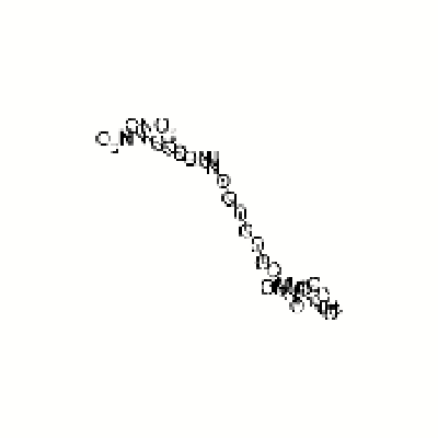 COc1ccc(-c2ccco2)c2[nH]cc(C(=O)C(=O)N3CCN(C(=O)c4cccc(OCCOCCOCCOCCOCCOCCn5cc(COCOCOCOCCNc6c([N+](=O)[O-])cccc6[N+](=O)[O-])nn5)c4)CC3)c12